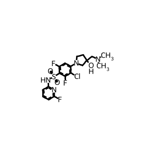 CN(C)CC1(O)CCN(c2cc(F)c(S(=O)(=O)Nc3cccc(F)n3)c(F)c2Cl)C1